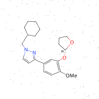 COc1ccc(-c2ccn(CC3CCCCC3)n2)cc1O[C@@H]1CCCO1